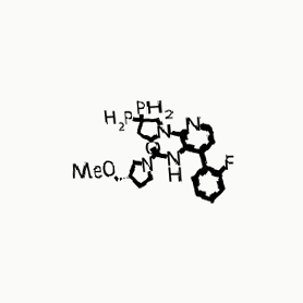 COC[C@H]1CCN(C(=O)Nc2c(-c3ccccc3F)ccnc2N2CCC(P)(P)C2)C1